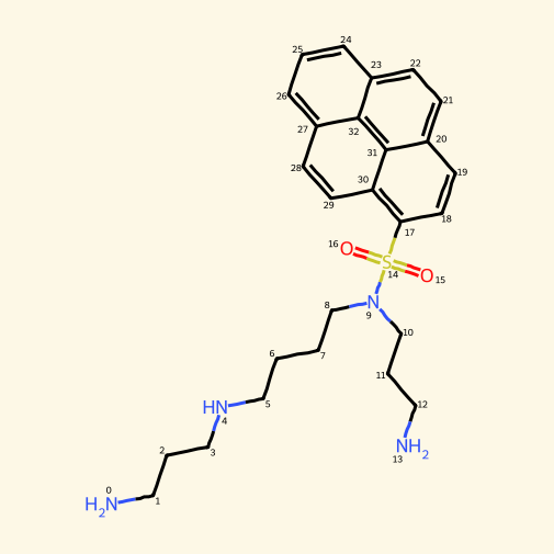 NCCCNCCCCN(CCCN)S(=O)(=O)c1ccc2ccc3cccc4ccc1c2c34